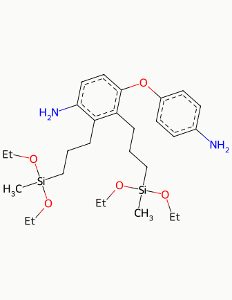 CCO[Si](C)(CCCc1c(N)ccc(Oc2ccc(N)cc2)c1CCC[Si](C)(OCC)OCC)OCC